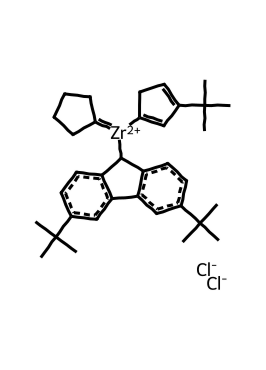 CC(C)(C)C1=CC[C]([Zr+2](=[C]2CCCC2)[CH]2c3ccc(C(C)(C)C)cc3-c3cc(C(C)(C)C)ccc32)=C1.[Cl-].[Cl-]